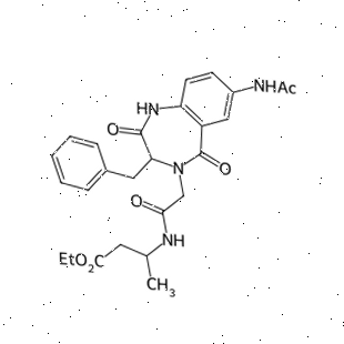 CCOC(=O)CC(C)NC(=O)CN1C(=O)c2cc(NC(C)=O)ccc2NC(=O)C1Cc1ccccc1